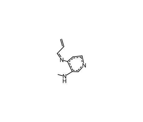 C=C/C=N\c1ccncc1NC